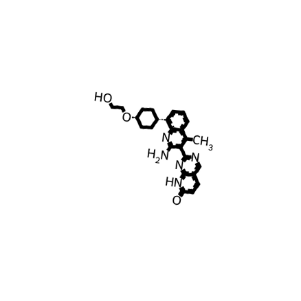 Cc1c(-c2ncc3ccc(=O)[nH]c3n2)c(N)nc2c1cccc2[C@H]1CC[C@@H](OCCO)CC1